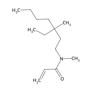 C=CC(=O)N(C)CCC(C)(CC)CCCC